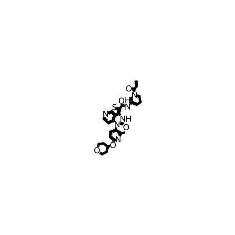 C=CC(=O)N1CCC=C(NC(=O)c2sc3nccc4c3c2NC(=O)N4c2ccc(OC3CCOCC3)nc2C)C1